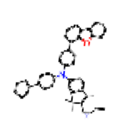 C=C/C=C\C1=C(C)c2ccc(N(c3ccc(-c4ccccc4)cc3)c3ccc(-c4cccc5c4oc4ccccc45)cc3)cc2C1(C)C